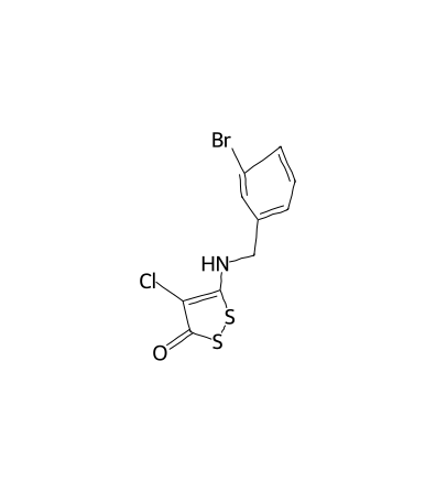 O=c1ssc(NCc2cccc(Br)c2)c1Cl